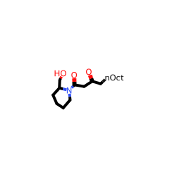 CCCCCCCCCC(=O)CC(=O)N1CCCCC1CO